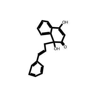 O=C1C=C(O)c2ccccc2C1(O)C/C=C/c1ccccc1